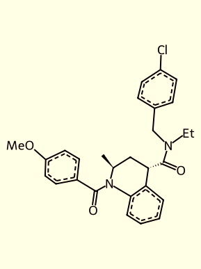 CCN(Cc1ccc(Cl)cc1)C(=O)[C@H]1C[C@H](C)N(C(=O)c2ccc(OC)cc2)c2ccccc21